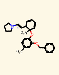 Cc1ccc(OC2([N+](=O)[O-])C=CC=CC2/C=C/N2CCCC2)c(OCc2ccccc2)c1